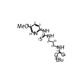 COc1ccc(NC(=S)NCCCNC(=O)OC(C)(C)C)nc1